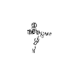 COC(=O)c1nc(N(CC2COC(C)(C)O2)C(=O)OC(C)(C)C)sc1CCCOc1ccc(C#CCN(C)C)cc1F